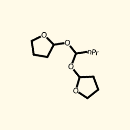 CCCC(OC1CCCO1)OC1CCCO1